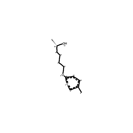 Cc1ccc(OCCCC[C@H](C)O)cc1